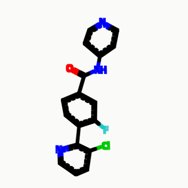 O=C(Nc1ccncc1)c1ccc(-c2ncccc2Cl)c(F)c1